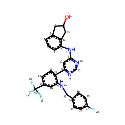 OC1Cc2cccc(Nc3cc(-c4ccc(C(F)(F)F)cc4NCc4ccc(F)cc4)ncn3)c2C1